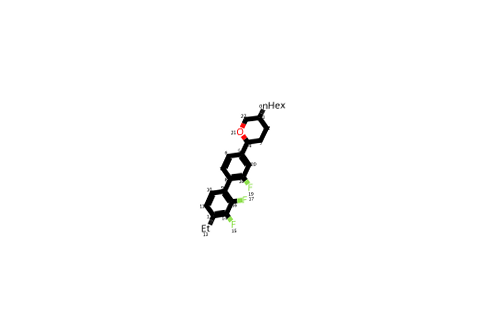 CCCCCCC1CCC(c2ccc(-c3ccc(CC)c(F)c3F)c(F)c2)OC1